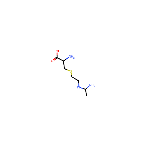 CC(N)NCCSCC(N)C(=O)O